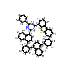 c1ccc(-c2nc(-c3ccc(-c4ccccc4-c4ccc(-c5ccccc5)c5ccccc45)c4ccccc34)nc(-c3cccc4c3sc3ccccc34)n2)cc1